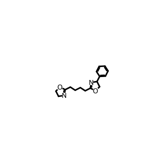 c1ccc(C2COC(CCCCC3=NCCO3)=N2)cc1